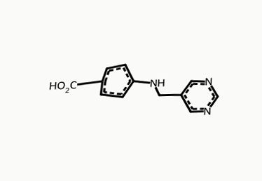 O=C(O)c1ccc(NCc2cncnc2)cc1